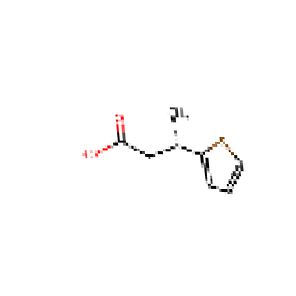 C[C@@H](CC(=O)O)c1cccs1